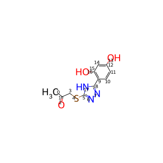 CC(=O)CSc1nnc(-c2ccc(O)cc2O)[nH]1